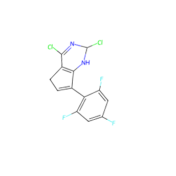 Fc1cc(F)c(C2=CCC3=C2NC(Cl)N=C3Cl)c(F)c1